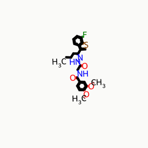 CCCC/C(=N\NC(=O)CNC(=O)c1ccc(OC)c(OC)c1)c1csc2c(F)cccc12